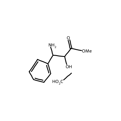 CC(=O)O.COC(=O)C(O)C(N)c1ccccc1